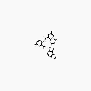 Cc1cc([C@H](C)Nc2ccc(Cl)nc2C(=O)O)c2nc(N3Cc4ccc5c(c4C3)OCO5)cc(=O)n2c1